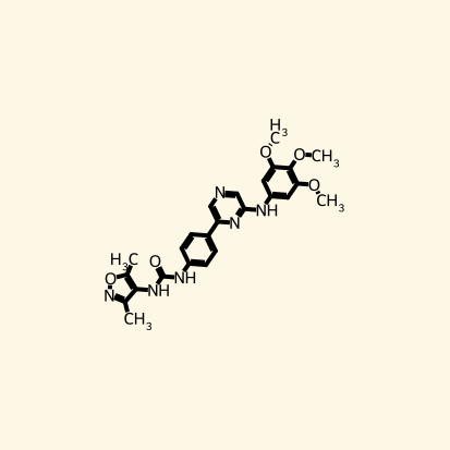 COc1cc(Nc2cncc(-c3ccc(NC(=O)Nc4c(C)noc4C)cc3)n2)cc(OC)c1OC